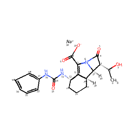 CC(O)[C@H]1C(=O)N2C(C(=O)[O-])=C3[C@@H](NC(=O)Nc4ccccc4)CCC[C@@H]3[C@H]12.[Na+]